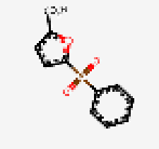 O=C(O)c1ccc(S(=O)(=O)c2ccccc2)o1